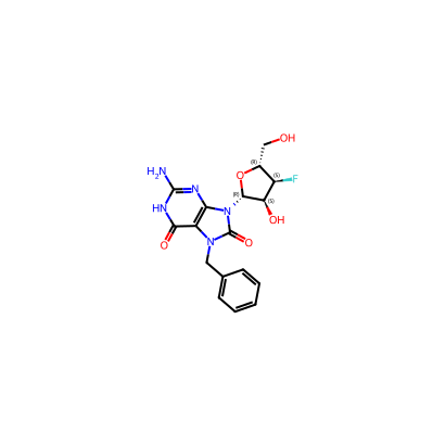 Nc1nc2c(c(=O)[nH]1)n(Cc1ccccc1)c(=O)n2[C@@H]1O[C@H](CO)[C@@H](F)[C@H]1O